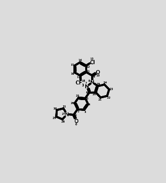 O=C(c1ccc(-c2nn(C(=O)c3c(Cl)cccc3C(F)(F)F)c3c2CCCC3)cc1)N1CCCC1